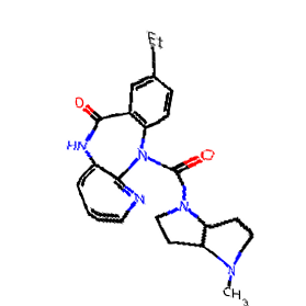 CCc1ccc2c(c1)C(=O)Nc1cccnc1N2C(=O)N1CCC2C1CCN2C